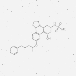 CCCS(=O)(=O)NC1CC(O)=C2c3cc(OC(C)CCCc4ccccc4)ccc3C3CCCN3C2C1